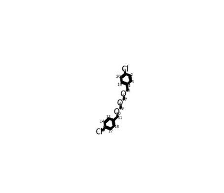 Clc1ccc(COCOCOCc2ccc(Cl)cc2)cc1